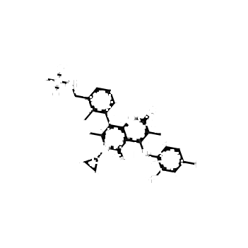 Cc1c(CNS(C)(=O)=O)cccc1-c1c(C)n(C2CC2)c(=O)c2c(Nc3ccc(I)cc3F)c(C)c(=O)oc12